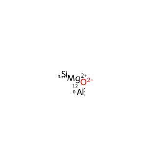 [Al].[Mg+2].[O-2].[Si]